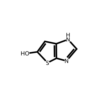 Oc1cc2[nH]cnc2s1